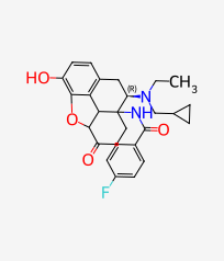 CCN(CC1CC1)[C@@H]1Cc2ccc(O)c3c2C2C(O3)C(=O)CCC21NC(=O)c1ccc(F)cc1